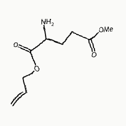 C=CCOC(=O)C(N)CCC(=O)OC